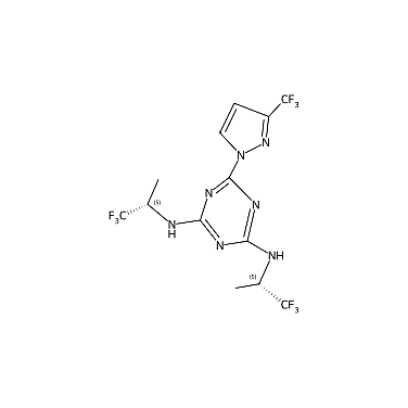 C[C@H](Nc1nc(N[C@@H](C)C(F)(F)F)nc(-n2ccc(C(F)(F)F)n2)n1)C(F)(F)F